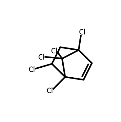 ClC1CC2(Cl)C=CC1(Cl)C2(Cl)Cl